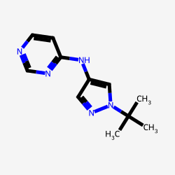 CC(C)(C)n1cc(Nc2ccncn2)cn1